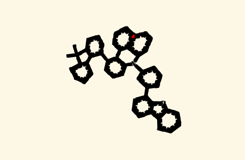 CC1(C)c2ccccc2-c2c(-c3cccc(N(c4ccccc4)c4cccc(-c5cccc6c5oc5ccccc56)c4)c3-c3ccccc3)cccc21